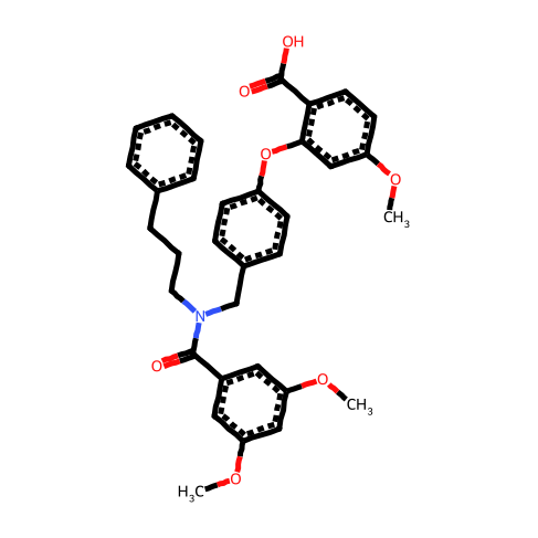 COc1cc(OC)cc(C(=O)N(CCCc2ccccc2)Cc2ccc(Oc3cc(OC)ccc3C(=O)O)cc2)c1